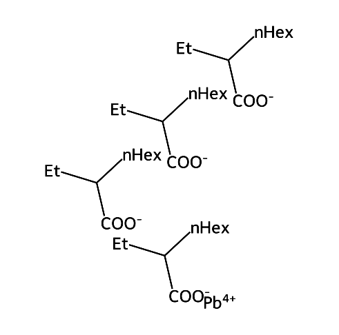 CCCCCCC(CC)C(=O)[O-].CCCCCCC(CC)C(=O)[O-].CCCCCCC(CC)C(=O)[O-].CCCCCCC(CC)C(=O)[O-].[Pb+4]